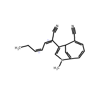 CC/C=C\C=C(\C#N)C1=CN(C)C2=CC1C(C#N)=CC=C2